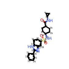 O=C(NC1CC1)C1CCC(NS(=O)(=O)c2ccc3[nH]c(-c4ccccc4)nc3c2)CC1